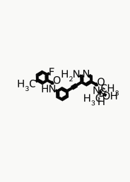 Cc1ccc(F)c(C(=O)Nc2cccc(C#Cc3cc(C(=O)N=[SH](C)(C)O)cnc3N)c2)c1